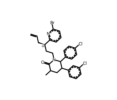 C=CC[C@H](CCN1C(=O)C(C)CC(c2cccc(Cl)c2)C1c1ccc(Cl)cc1)c1cccc(Br)n1